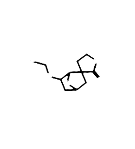 O=C1OCCC12CC1CC(OC[SiH3])C2O1